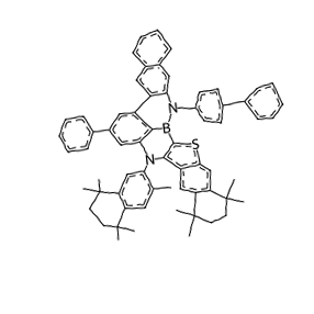 Cc1cc2c(cc1N1c3cc(-c4ccccc4)cc4c3B(c3sc5cc6c(cc5c31)C(C)(C)CCC6(C)C)N(c1ccc(-c3ccccc3)cc1)c1cc3ccccc3cc1-4)C(C)(C)CCC2(C)C